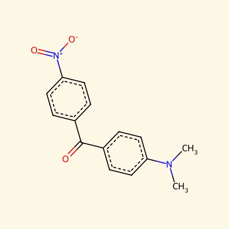 CN(C)c1ccc(C(=O)c2ccc([N+](=O)[O-])cc2)cc1